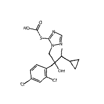 CC(C1CC1)C(O)(Cn1ncnc1SC(=O)O)c1ccc(Cl)cc1Cl